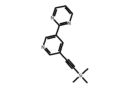 C[Si](C)(C)C#Cc1cncc(-c2ncccn2)c1